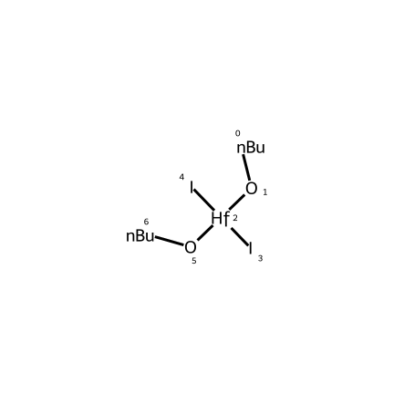 CCCC[O][Hf]([I])([I])[O]CCCC